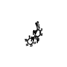 C#Cc1ccc(F)c(N2CCCCC2)n1